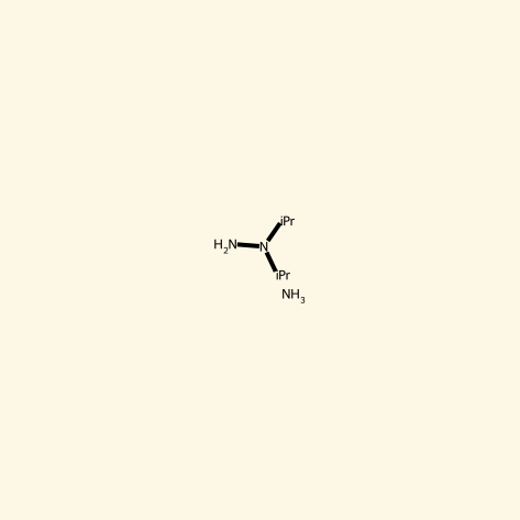 CC(C)N(N)C(C)C.N